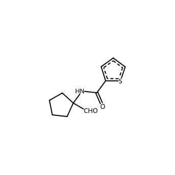 O=CC1(NC(=O)c2cccs2)CCCC1